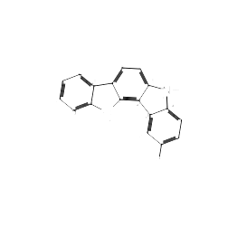 Clc1ccc2[nH]c3ccc4c5ccccc5oc4c3c2c1